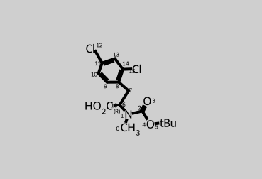 CN(C(=O)OC(C)(C)C)[C@H](Cc1ccc(Cl)cc1Cl)C(=O)O